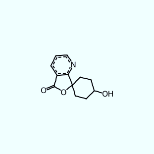 O=C1OC2(CCC(O)CC2)c2ncccc21